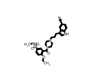 CCOc1ccc(S(=O)(=O)NC)cc1C(=O)N1CCN(CCCc2c[nH]c3ccc(C#N)cc23)CC1